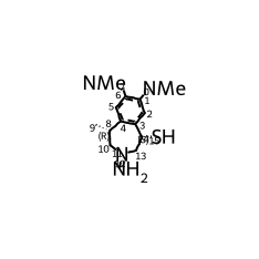 CNc1cc2c(cc1NC)[C@@H](C)CN(N)C[C@H]2S